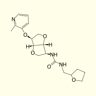 Cc1ncccc1O[C@H]1CO[C@H]2[C@@H]1OC[C@@H]2NC(=O)NCC1CCCO1